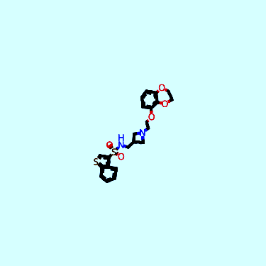 O=S(=O)(NCC1CN(CCOc2cccc3c2OCCO3)C1)c1csc2ccccc12